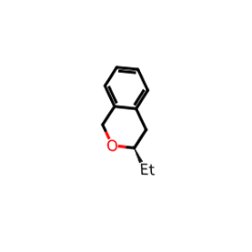 CC[C@@H]1Cc2ccccc2CO1